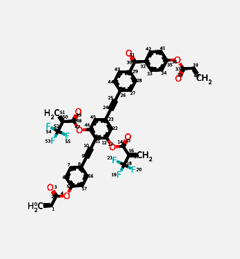 C=CC(=O)Oc1ccc(C#Cc2c(OC(=O)C(=C)C(F)(F)F)cc(C#Cc3ccc(C(=O)c4ccc(OC(=O)C=C)cc4)cc3)cc2OC(=O)C(=C)C(F)(F)F)cc1